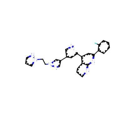 Fc1ccccc1-c1cc(-c2cncc(-c3cnn(CCn4cccn4)c3)c2)c2cccnc2n1